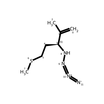 C=C(C)[C@H](CCSC)NN=[N+]=[N-]